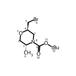 C[C@@H]1CO[C@@H](CBr)CN1C(=O)OC(C)(C)C